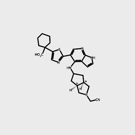 N#CCN1C[C@H]2CC(Nc3c(-c4ncc(C5(C(=O)O)CCCCC5)s4)cnc4[nH]ccc34)C[C@H]2C1